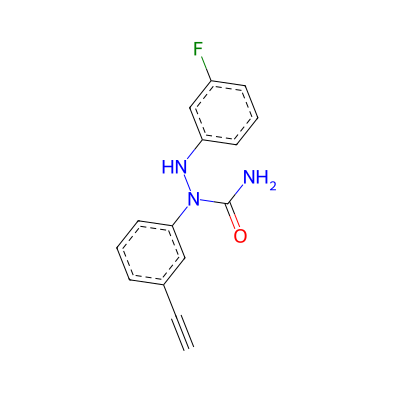 C#Cc1cccc(N(Nc2cccc(F)c2)C(N)=O)c1